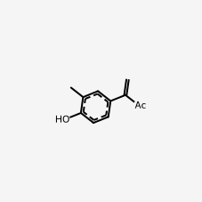 C=C(C(C)=O)c1ccc(O)c(C)c1